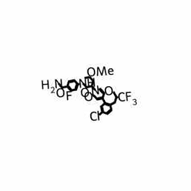 COC(C)CC(C(=O)Nc1ccc(C(N)=O)c(F)c1)n1cc2c(cc1=O)-c1cc(Cl)ccc1CC(C(F)(F)F)CO2